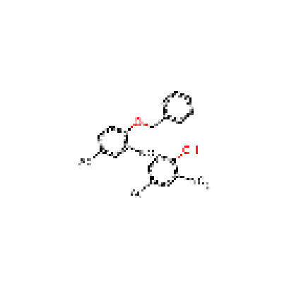 CC(=O)c1ccc(O)c([N+](=O)[O-])c1.CC(=O)c1ccc(OCc2ccccc2)c([N+](=O)[O-])c1